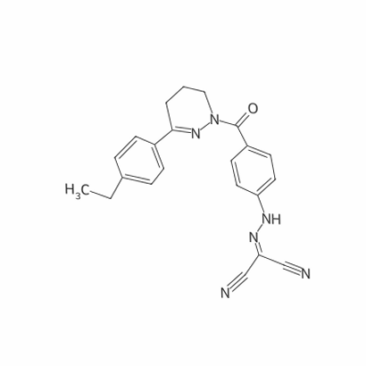 CCc1ccc(C2=NN(C(=O)c3ccc(NN=C(C#N)C#N)cc3)CCC2)cc1